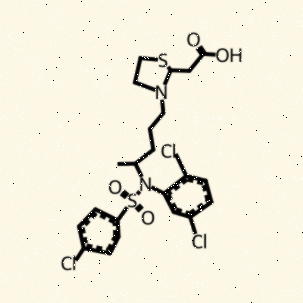 CC(CCCN1CCSC1CC(=O)O)N(c1cc(Cl)ccc1Cl)S(=O)(=O)c1ccc(Cl)cc1